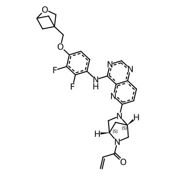 C=CC(=O)N1C[C@@H]2C[C@H]1CN2c1ccc2ncnc(Nc3ccc(OCC45COC(C4)C5)c(F)c3F)c2n1